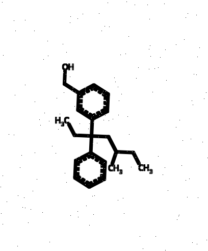 CCC(C)CC(CC)(c1ccccc1)c1cccc(CO)c1